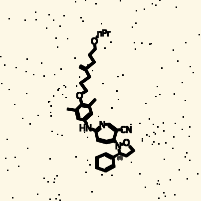 C=C(CCCOCCC)CCCOc1c(C)cc(NC2=NC=C(C#N)C(N3OCC[C@H]3c3ccccc3)=C=C2)cc1C